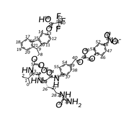 CC(C)[C@H](NC(=O)OCC1c2ccccc2-c2ccccc21)C(=O)N[C@@H](CCCNC(N)=O)C(=O)Nc1ccc(COC(=O)Oc2ccc([N+](=O)[O-])cc2)cc1.O=C(O)C(F)(F)F